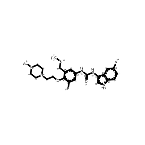 CC(=O)N1CCN(CCOc2c(F)cc(NC(=O)Nc3c[nH]c4ccc(F)cc34)cc2CSC(F)(F)F)CC1